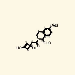 CCOc1ccc2c(c1)CCN(C(=O)CC1(O)C=C(O)C1)C2C=O